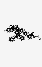 Cc1ccc(S(=O)(=O)N(C)CC(=O)N(Cc2ccc(-c3ccc(-c4cccc(C(N)=O)c4)cc3)cc2)c2ccc(C(=O)OCc3ccccc3)c(OCc3ccccc3)c2)cc1